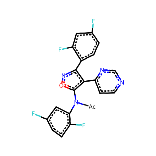 CC(=O)N(c1cc(F)ccc1F)c1onc(-c2ccc(F)cc2F)c1-c1ccncn1